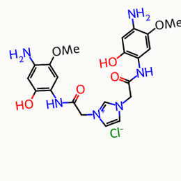 COc1cc(NC(=O)Cn2cc[n+](CC(=O)Nc3cc(OC)c(N)cc3O)c2)c(O)cc1N.[Cl-]